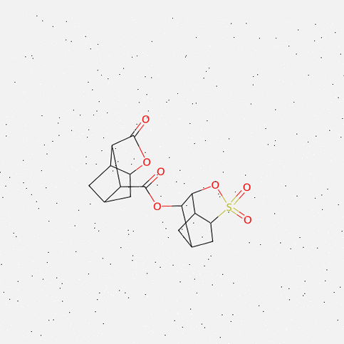 O=C(OC1C2CC3C1OS(=O)(=O)C3C2)C1C2CC3OC(=O)C1C3C2